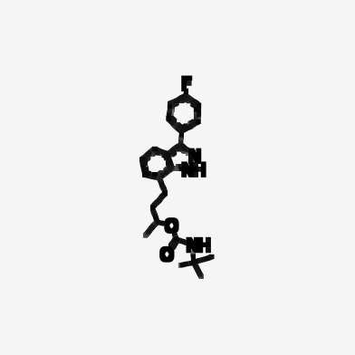 CC(CCc1cccc2c(-c3ccc(F)cc3)n[nH]c12)OC(=O)NC(C)(C)C